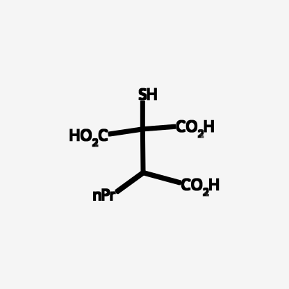 CCCC(C(=O)O)C(S)(C(=O)O)C(=O)O